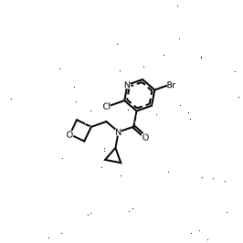 O=C(c1cc(Br)cnc1Cl)N(CC1COC1)C1CC1